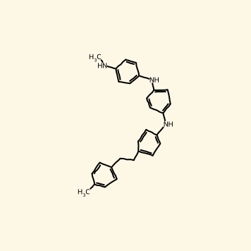 CNc1ccc(Nc2ccc(Nc3ccc(CCc4ccc(C)cc4)cc3)cc2)cc1